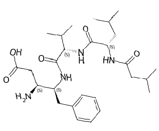 CC(C)CC(=O)N[C@@H](CC(C)C)C(=O)N[C@H](C(=O)N[C@@H](Cc1ccccc1)[C@@H](N)CC(=O)O)C(C)C